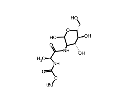 C[C@H](NC(=O)OC(C)(C)C)C(=O)N[C@H]1C(O)O[C@H](CO)[C@@H](O)[C@@H]1O